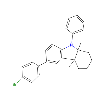 CC12CCCCC1(C)N(c1ccccc1)c1ccc(-c3ccc(Br)cc3)cc12